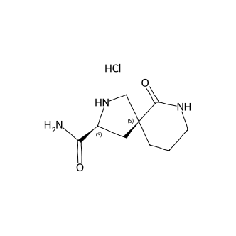 Cl.NC(=O)[C@@H]1C[C@@]2(CCCNC2=O)CN1